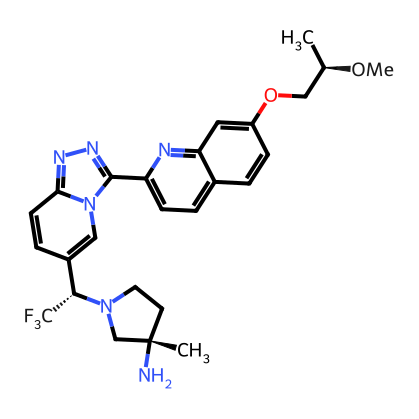 CO[C@H](C)COc1ccc2ccc(-c3nnc4ccc([C@H](N5CC[C@](C)(N)C5)C(F)(F)F)cn34)nc2c1